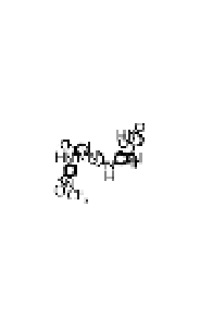 Cn1nc(C2CCC(=O)NC2=O)c2ccc(NC3CCN(c4ncc(Cl)c(Nc5ccc6c(c5)CC(=O)N6CC(F)(F)F)n4)CC3)cc21